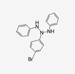 Brc1ccc(N(Nc2ccccc2)Nc2ccccc2)cc1